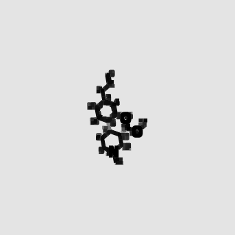 C=CCc1ccc([C@H]2CCN(C)C[C@H]2C(=O)OC)cc1